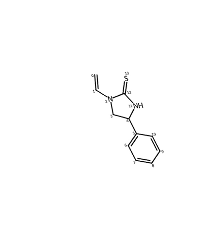 C=CN1CC(c2ccccc2)NC1=S